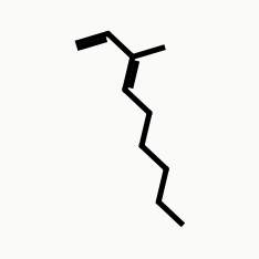 C=CC(C)=CCCCCC